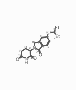 CCC(CC)Oc1ccc2c(c1)CN(C1CCC(=O)NC1=O)C2=O